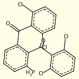 O=C(c1cccc(P)c1C(=O)c1c(Cl)cccc1Cl)c1c(Cl)cccc1Cl